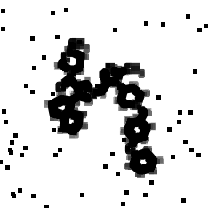 Cc1ncc(Cn2cc(C(=O)N3CCN(C)CC3)c(-c3cccc4ccccc34)c2)n1C1CCN(Cc2ccc(Oc3ccccc3)cc2)CC1